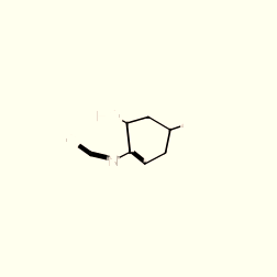 CC1CC=C(N=C=O)C(O)C1